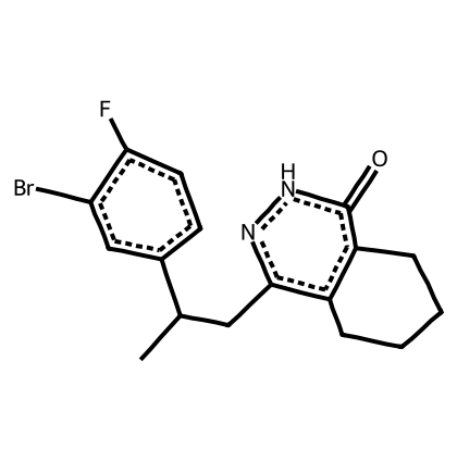 CC(Cc1n[nH]c(=O)c2c1CCCC2)c1ccc(F)c(Br)c1